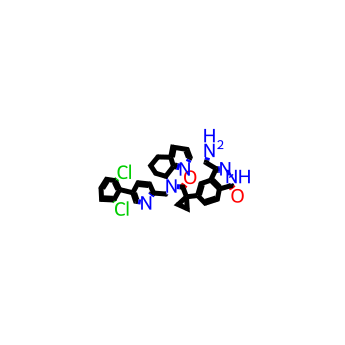 NCc1n[nH]c(=O)c2ccc(C3(C(=O)N(Cc4ccc(-c5c(Cl)cccc5Cl)cn4)[C@@H]4CCCc5cccnc54)CC3)cc12